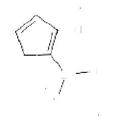 [CH3][Zr+]([CH3])[C]1=CC=CC1.[Cl-]